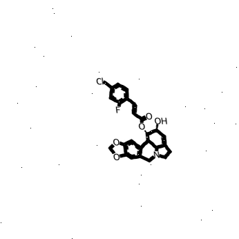 O=C(/C=C/c1ccc(Cl)cc1F)O[C@H]1C2c3cc4c(cc3CN3CCC(=C[C@@H]1O)C23)OCO4